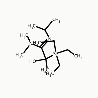 CC[Si](CC)(CC)C(C)(O)C(=NC(C)C)N(C)C